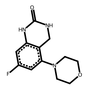 O=C1NCc2c(cc(F)cc2N2CCOCC2)N1